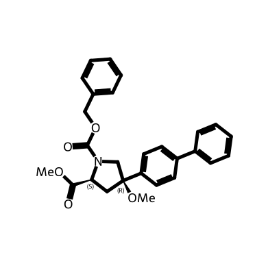 COC(=O)[C@@H]1C[C@@](OC)(c2ccc(-c3ccccc3)cc2)CN1C(=O)OCc1ccccc1